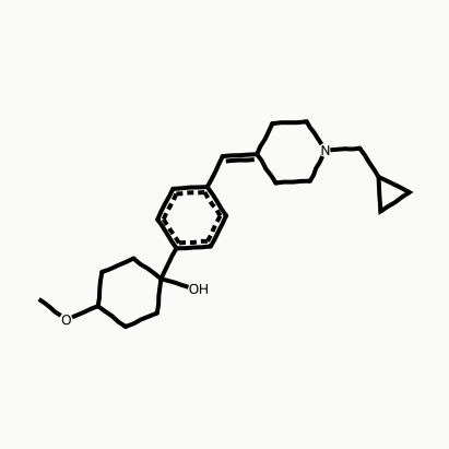 COC1CCC(O)(c2ccc(C=C3CCN(CC4CC4)CC3)cc2)CC1